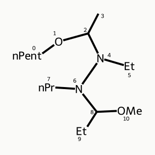 CCCCCOC(C)N(CC)N(CCC)C(CC)OC